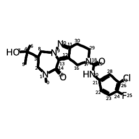 CN1CC(C(C)(C)O)Cn2nc3c(c2C1=O)CN(C(=O)Nc1ccc(F)c(Cl)c1)CC3